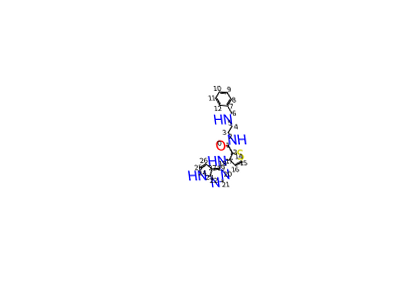 O=C(NCCNCc1ccccc1)C1SC=CC1Nc1ncnc2[nH]ccc12